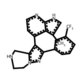 Cc1c[nH]c2nccc(-c3c(-c4cccc(C(F)(F)F)c4)nn4c3CNCC4)c12